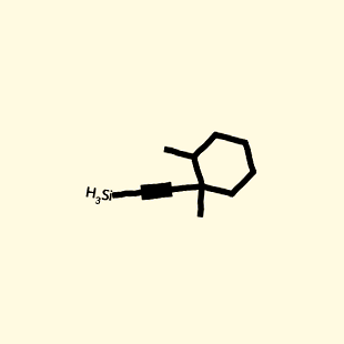 CC1CCCCC1(C)C#C[SiH3]